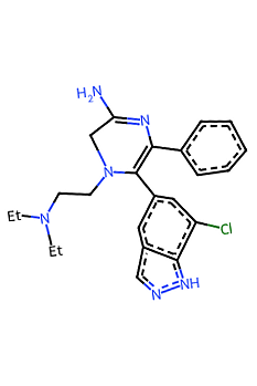 CCN(CC)CCN1CC(N)=NC(c2ccccc2)=C1c1cc(Cl)c2[nH]ncc2c1